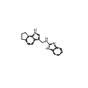 c1ccc2[nH]c(NCc3c[nH]c4c5c(ccc34)CCC5)nc2c1